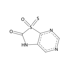 O=C1Nc2cncnc2S1(=O)=S